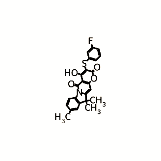 Cc1ccc2c(c1)C(C)(C)c1cc3oc(=O)c(Sc4cccc(F)c4)c(O)c3c(=O)n1-2